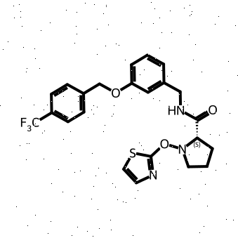 O=C(NCc1cccc(OCc2ccc(C(F)(F)F)cc2)c1)[C@@H]1CCCN1Oc1nccs1